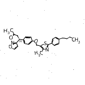 CCCCc1ccc(-c2nc(C)c(COc3ccc([C@H](CC(C)=O)c4ccon4)cc3)s2)cc1